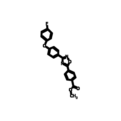 COC(=O)c1ccc(-c2nc(-c3ccc(Oc4ccc(F)cc4)cc3)no2)cc1